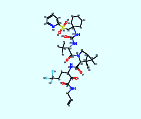 C=CCNC(=O)C(=O)C(CCC(F)(F)F)NC(=O)[C@@H]1[C@@H]2C(CN1C(=O)[C@@H](NC(=O)NC1(CS(=O)(=O)c3ccccn3)CCCCC1)C(C)(C)C)C2(C)C